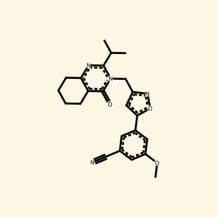 COc1cc(C#N)cc(-c2cc(Cn3c(C(C)C)nc4c(c3=O)CCCC4)no2)c1